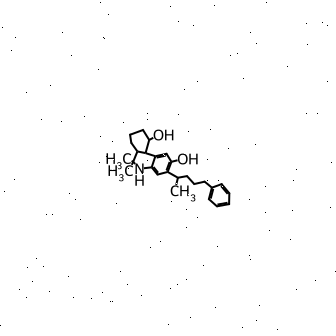 CC(CCCc1ccccc1)c1cc2c(cc1O)C1C(O)CCCC1C(C)(C)N2